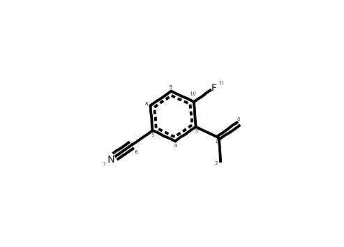 C=C(C)c1cc(C#N)ccc1F